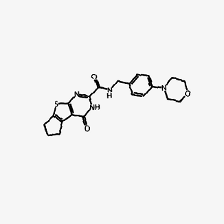 O=C(NCc1ccc(N2CCOCC2)cc1)c1nc2sc3c(c2c(=O)[nH]1)CCC3